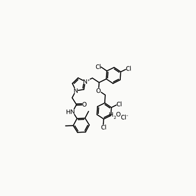 Cc1cccc(C)c1NC(=O)Cn1cc[n+](CC(OCc2ccc(Cl)cc2Cl)c2ccc(Cl)cc2Cl)c1.O.[Cl-]